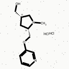 CN1C[C@@H](CO)C[C@H]1COc1cccnc1.Cl.Cl